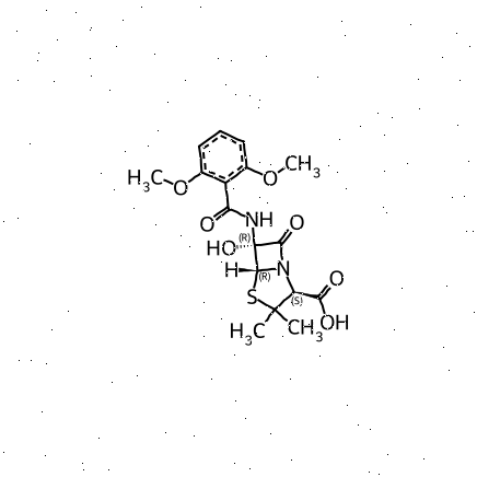 COc1cccc(OC)c1C(=O)N[C@@]1(O)C(=O)N2[C@@H](C(=O)O)C(C)(C)S[C@@H]21